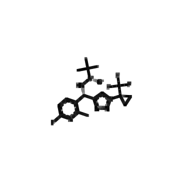 Cc1nc(F)ccc1[C@H](N[S@@+]([O-])C(C)(C)C)c1cn(C2(C(F)(F)F)CC2)nn1